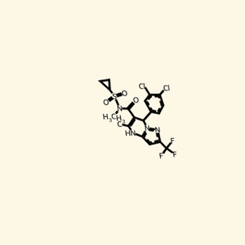 CC1=C(C(=O)N(C)S(=O)(=O)C2CC2)C(c2ccc(Cl)c(Cl)c2)n2nc(C(F)(F)F)cc2N1